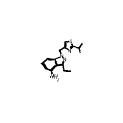 CCc1nn(Cc2csc(C(C)C)n2)c2cccc(N)c12